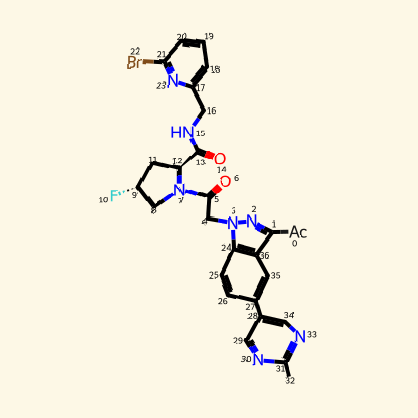 CC(=O)c1nn(CC(=O)N2C[C@H](F)C[C@H]2C(=O)NCc2cccc(Br)n2)c2ccc(-c3cnc(C)nc3)cc12